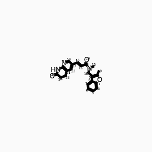 Cc1oc2ccccc2c1CN(C)C(=O)C=Cc1cnc2c(c1)CCC(=O)N2